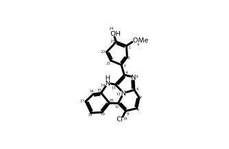 COc1cc(-c2nc3ccc(Cl)c4n3c2Nc2ccccc2-4)ccc1O